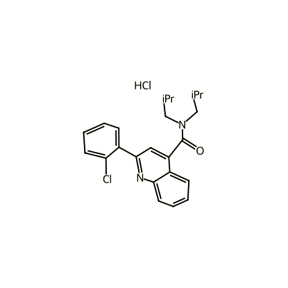 CC(C)CN(CC(C)C)C(=O)c1cc(-c2ccccc2Cl)nc2ccccc12.Cl